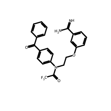 N=C(N)c1cccc(OCCN(C(=O)C(F)(F)F)c2ccc(C(=O)c3ccccc3)cc2)c1